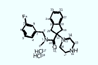 CN(Cc1cccc(F)c1)C(=O)C1(N2CCNCC2)Cc2ccccc2C1.Cl.Cl